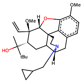 C=C[C@@]1(OC)[C@@H](C(C)(O)C(C)(C)C)CC2[C@H]3Cc4ccc(OC)c5c4[C@@]2(CCN3CC2CC2)[C@H]1O5